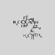 Cc1ccc2c(-c3nc(Nc4cc(CN5C[C@@H](C)N[C@@H](C)C5)cc(C5CC5)c4)ncc3C(F)(F)F)c[nH]c2c1